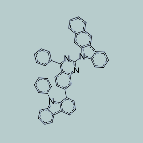 c1ccc(-c2nc(-n3c4ccccc4c4cc5ccccc5cc43)nc3cc(-c4cccc5c6ccccc6n(-c6ccccc6)c45)ccc23)cc1